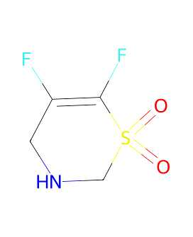 O=S1(=O)CNCC(F)=C1F